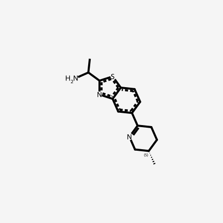 CC(N)c1nc2cc(C3=NC[C@@H](C)CC3)ccc2s1